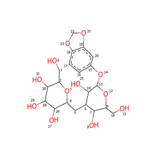 OCC1OC(CC2C(O)C(CO)OC(Oc3ccc4c(c3)OCO4)C2O)C(O)C(O)C1O